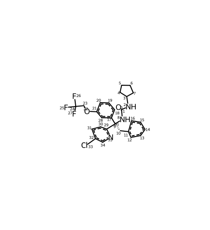 O=C(NC1CCCC1)N[C@](Cc1ccccc1)(c1cccc(OCC(F)(F)F)c1)c1ccc(Cl)cn1